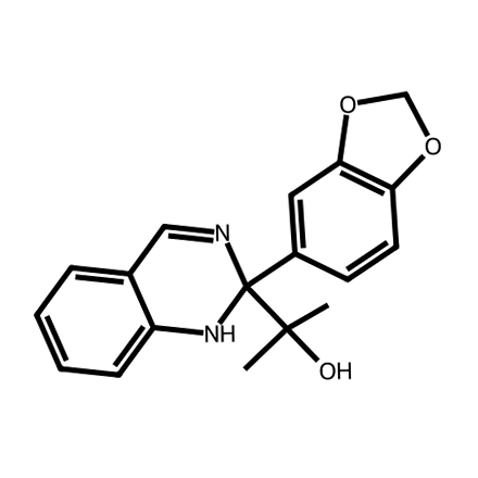 CC(C)(O)C1(c2ccc3c(c2)OCO3)N=Cc2ccccc2N1